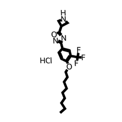 CCCCCCCCCOc1ccc(-c2noc(C3CNC3)n2)cc1C(F)(F)F.Cl